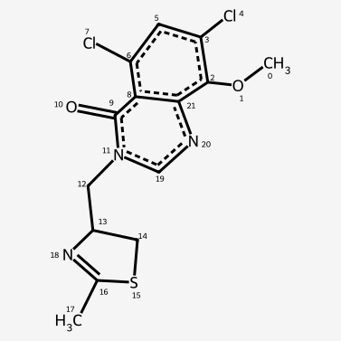 COc1c(Cl)cc(Cl)c2c(=O)n(CC3CSC(C)=N3)cnc12